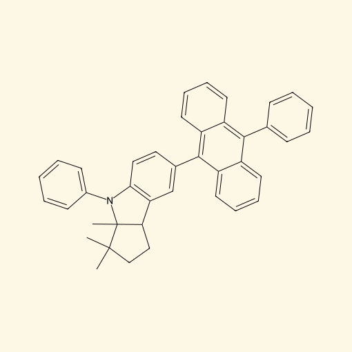 CC1(C)CCC2c3cc(-c4c5ccccc5c(-c5ccccc5)c5ccccc45)ccc3N(c3ccccc3)C21C